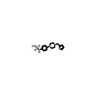 O=S(=O)(O)Nc1ccc(N2CCN(Cc3cccs3)CC2)cc1